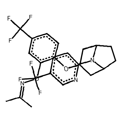 CC(C)=NOc1cc(C(F)(F)F)ccc1OC1CC2CCC(C1)N2c1ccc(C(F)(F)F)cn1